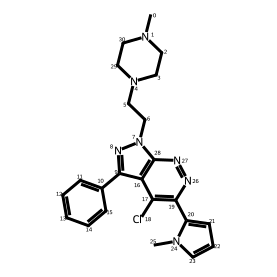 CN1CCN(CCn2nc(-c3ccccc3)c3c(Cl)c(-c4cccn4C)nnc32)CC1